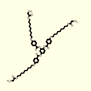 C=CC(=O)OCCCCCCCCCOc1ccc(C(=O)Oc2ccc(OC(=O)c3ccc(OCCCCCCCCCOC(=O)C=C)cc3)c(OC(=O)c3ccc(OCCCCCCCCCOC(=O)C=C)cc3)c2)cc1